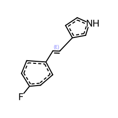 Fc1ccc(/C=C/c2cc[nH]c2)cc1